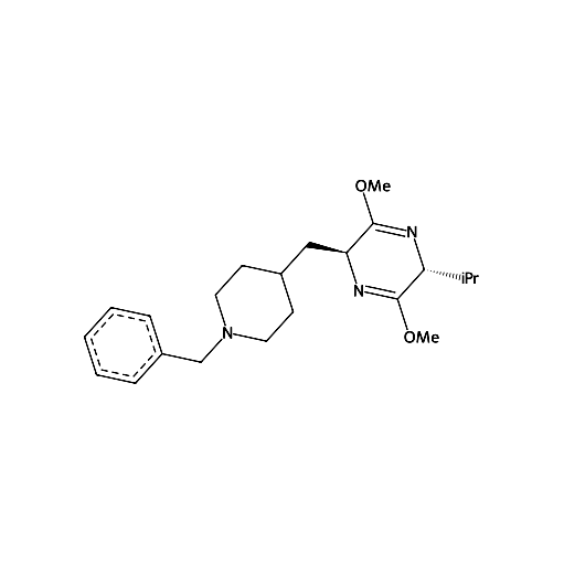 COC1=N[C@H](C(C)C)C(OC)=N[C@H]1CC1CCN(Cc2ccccc2)CC1